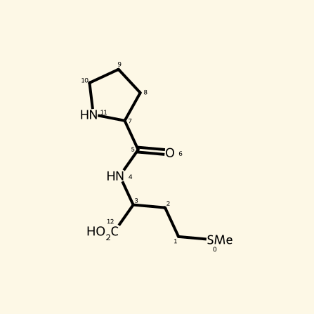 CSCCC(NC(=O)C1CCCN1)C(=O)O